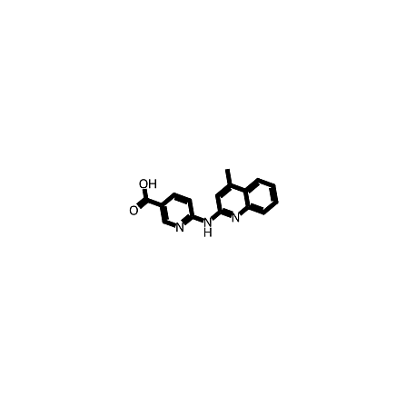 Cc1cc(Nc2ccc(C(=O)O)cn2)nc2ccccc12